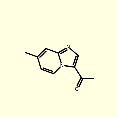 CC(=O)c1cnc2cc(C)ccn12